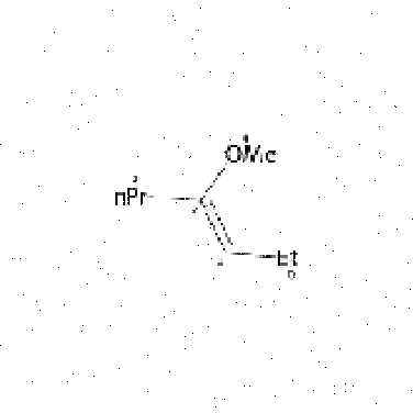 CCC=C(CCC)OC